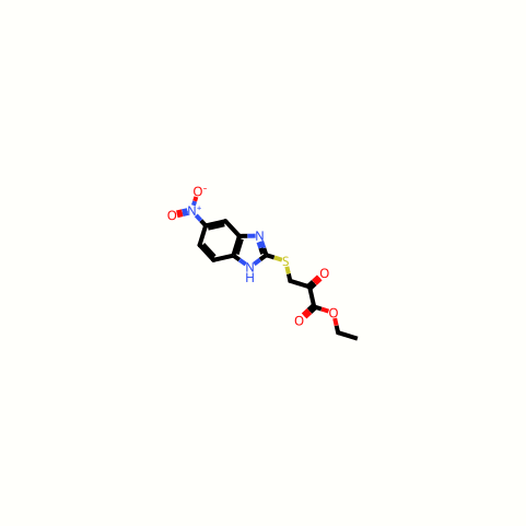 CCOC(=O)C(=O)CSc1nc2cc([N+](=O)[O-])ccc2[nH]1